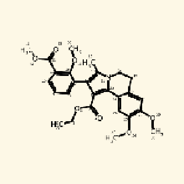 CCOC(=O)c1c(-c2cccc(C(=O)OC)c2OC)c(C)n2c1-c1cc(OC)c(OC)cc1CC2